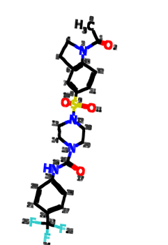 CC(=O)N1CCc2cc(S(=O)(=O)N3CCN(C(=O)Nc4ccc(C(F)(F)F)cc4)CC3)ccc21